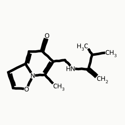 C=C(NCc1c(C)n2occc2cc1=O)C(C)C